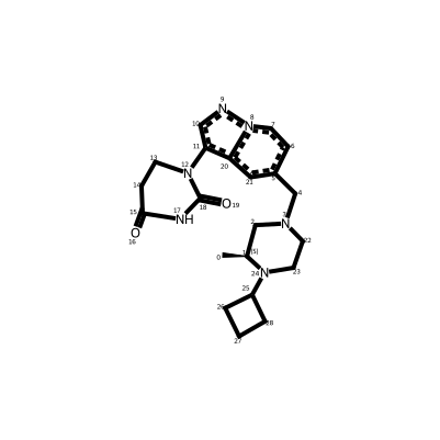 C[C@H]1CN(Cc2ccn3ncc(N4CCC(=O)NC4=O)c3c2)CCN1C1CCC1